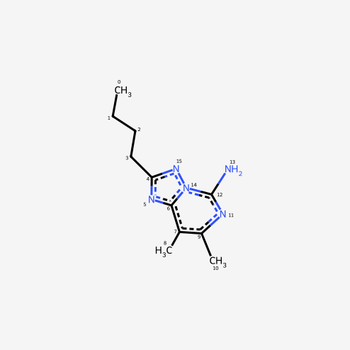 CCCCc1nc2c(C)c(C)nc(N)n2n1